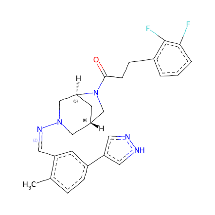 Cc1ccc(-c2cn[nH]c2)cc1/C=N\N1C[C@@H]2C[C@@H](C1)N(C(=O)CCc1cccc(F)c1F)C2